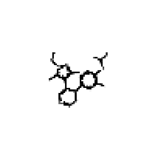 CCn1nc(C)c(C2=CN=CCN2c2ccc(OC(F)F)c(F)c2)c1C